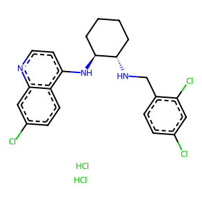 Cl.Cl.Clc1ccc(CN[C@H]2CCCC[C@@H]2Nc2ccnc3cc(Cl)ccc23)c(Cl)c1